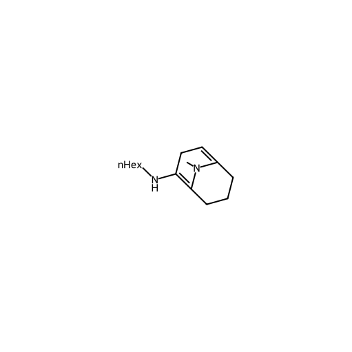 CCCCCCNC1=C2CCCC(=CC1)N2C